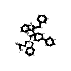 O=C(O)CCN(Cc1ccccc1)C(=O)C1(c2c(Cc3ccccc3)oc3ccccc23)C=CC(c2ccccc2)=CC1